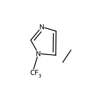 CC.FC(F)(F)n1ccnc1